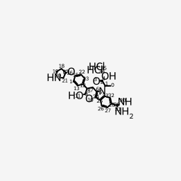 CC(C(=O)O)n1c(CC(C(=O)O)c2ccc(O[C@H]3CCNC3)cc2)cc2ccc(C(=N)N)cc21.Cl.Cl